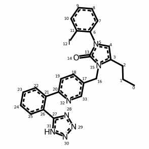 CCCc1cn(-c2ccccc2I)c(=O)n1Cc1ccc(-c2ccccc2-c2nnn[nH]2)nc1